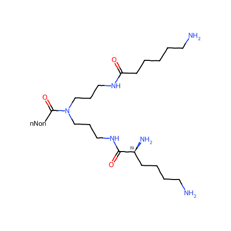 CCCCCCCCCC(=O)N(CCCNC(=O)CCCCCN)CCCNC(=O)[C@@H](N)CCCCN